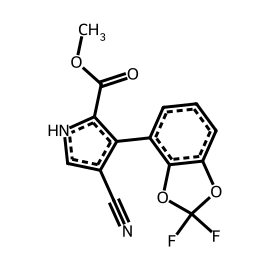 COC(=O)c1[nH]cc(C#N)c1-c1cccc2c1OC(F)(F)O2